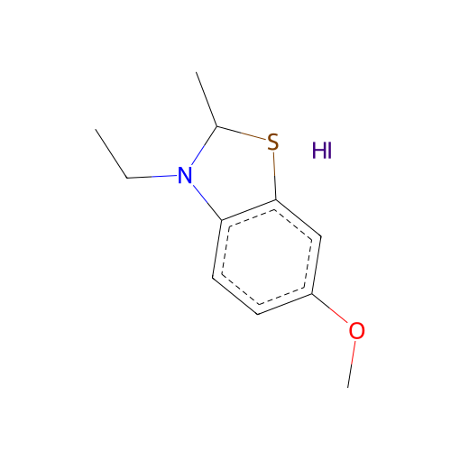 CCN1c2ccc(OC)cc2SC1C.I